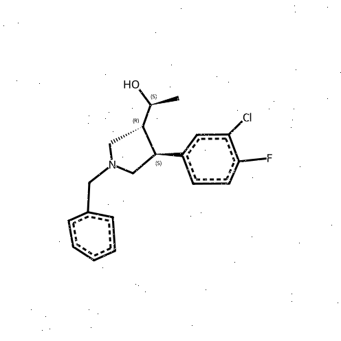 C[C@H](O)[C@H]1CN(Cc2ccccc2)C[C@@H]1c1ccc(F)c(Cl)c1